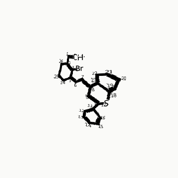 [CH]=CC1=C(Br)C(=CC=C2C=C(c3ccccc3)Sc3ccccc32)CCC1